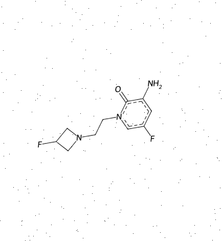 Nc1cc(F)cn(CCN2CC(F)C2)c1=O